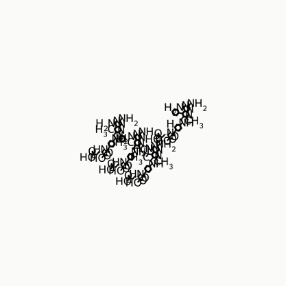 CCc1c(CNc2ccc(C(=O)N[C@@H](CCC(=O)O)C(=O)O)cc2)c(C)nc2nc(N)nc(N)c12.CCc1nc2nc(N)nc(N)c2c(C)c1CNc1ccc(C(=O)N[C@@H](CCC(=O)O)C(=O)O)cc1.Cc1c(CNc2ccc(C(=O)N[C@@H](CCC(=O)O)C(=O)O)cc2)c(-c2ccccc2)nc2nc(N)nc(N)c12.Cc1nc2nc(N)nc(N)c2c(-c2ccccc2)c1CNc1ccc(C(=O)N[C@@H](CCC(=O)O)C(=O)O)cc1